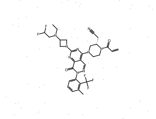 C=CC(=O)N1CCN(c2nc(N3CC(N(CC)CC(F)F)C3)nc3c(=O)n(-c4cccc(C)c4C(F)(F)F)ncc23)C[C@@H]1CC#N